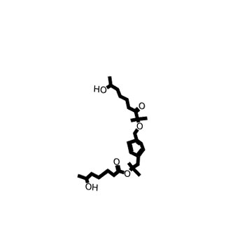 CC(O)CCCCC(=O)OC(C)(C)Cc1ccc(COC(C)(C)C(=O)CCCCC(C)O)cc1